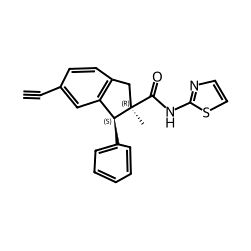 C#Cc1ccc2c(c1)[C@H](c1ccccc1)[C@](C)(C(=O)Nc1nccs1)C2